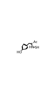 CC(=O)[C@@H](Cc1ccc(O)cc1)NS